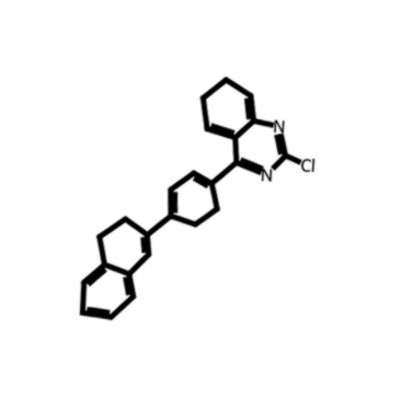 Clc1nc(C2=CC=C(C3=Cc4ccccc4CC3)CC2)c2c(n1)=CCCC=2